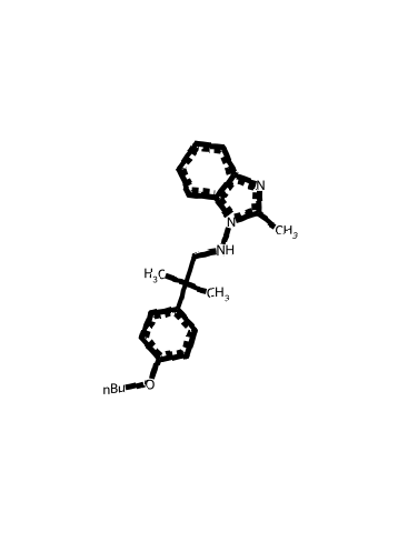 CCCCOc1ccc(C(C)(C)CNn2c(C)nc3ccccc32)cc1